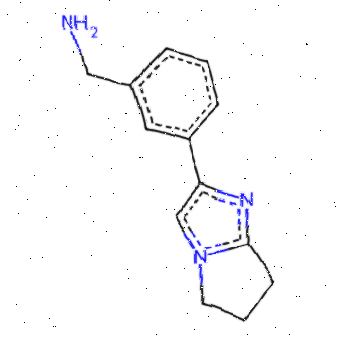 NCc1cccc(-c2cn3c(n2)CCC3)c1